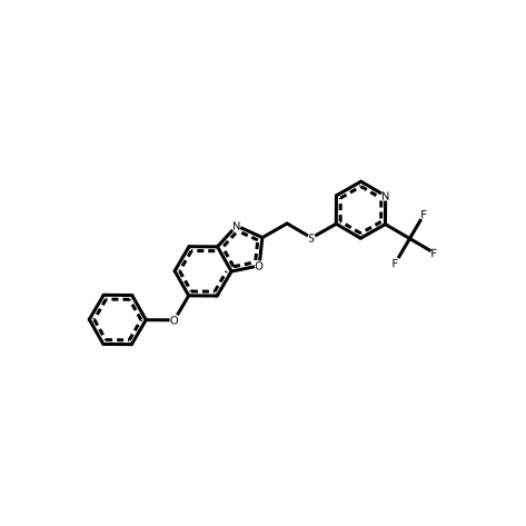 FC(F)(F)c1cc(SCc2nc3ccc(Oc4ccccc4)cc3o2)ccn1